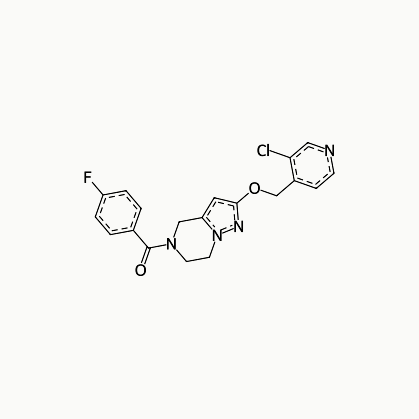 O=C(c1ccc(F)cc1)N1CCn2nc(OCc3ccncc3Cl)cc2C1